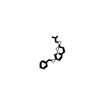 CC(C)COC(=O)/C=C\c1ccc(OCc2ccccc2)cn1